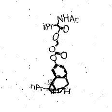 CCC[C@@H]1CC[C@H]2Cc3ccc(OC(=O)OCOC(=O)C(NC(C)=O)C(C)C)cc3[C@@]1(C)[C@@H]2C